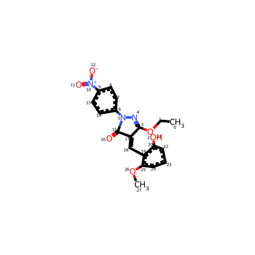 CCOC1=NN(c2ccc([N+](=O)[O-])cc2)C(=O)/C1=C/c1c(O)cccc1OC